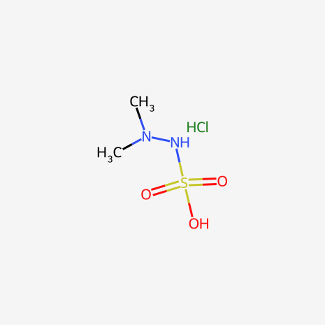 CN(C)NS(=O)(=O)O.Cl